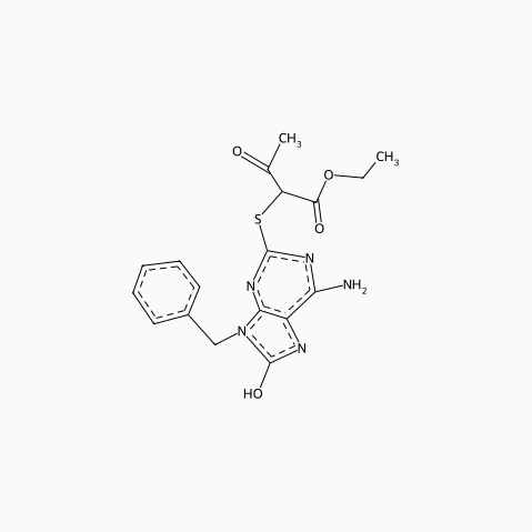 CCOC(=O)C(Sc1nc(N)c2nc(O)n(Cc3ccccc3)c2n1)C(C)=O